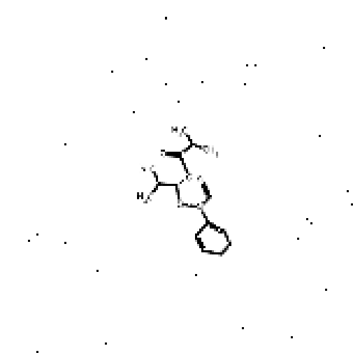 CC(C)C(=O)O[C@H](ON(C=O)C1=CC[CH]C=C1)C(C)C